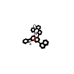 c1cc(-c2ccccc2N(c2ccc3sc4ccccc4c3c2)c2cccc3oc4ccccc4c23)cc(-c2cccc3ccccc23)c1